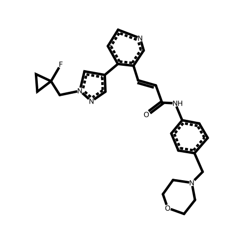 O=C(C=Cc1cnccc1-c1cnn(CC2(F)CC2)c1)Nc1ccc(CN2CCOCC2)cc1